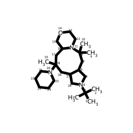 CC(C)(C)N1CC2CC(C)(C)N3CCOCC3CC(C)(N3CCCCC3)CC2C1